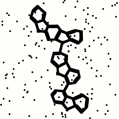 c1ccc2c(c1)oc1cc3c(cc12)c1ccccc1n3-c1ccc2oc3c(-c4cccc5sc6ccccc6c45)cccc3c2c1